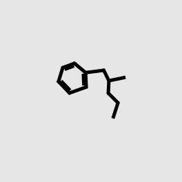 CCCC(C)Cc1cc[c]cc1